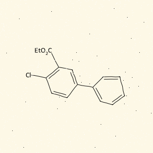 CCOC(=O)c1cc(-c2cc[c]cc2)ccc1Cl